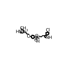 C[C@H]1CN(CCCOc2ccc(S(=O)(=O)NCCCc3c[nH]c4ccc(Cl)cc34)cc2)CCN1